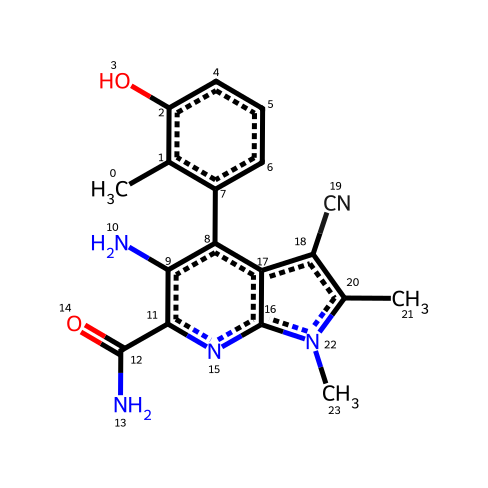 Cc1c(O)cccc1-c1c(N)c(C(N)=O)nc2c1c(C#N)c(C)n2C